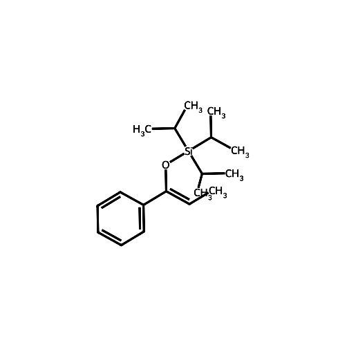 C/C=C(\O[Si](C(C)C)(C(C)C)C(C)C)c1ccccc1